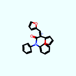 O=C(/C(=C\c1ccco1)c1ccco1)N(c1ccccc1)c1ccccc1